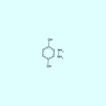 NN.Oc1ccc(O)cc1